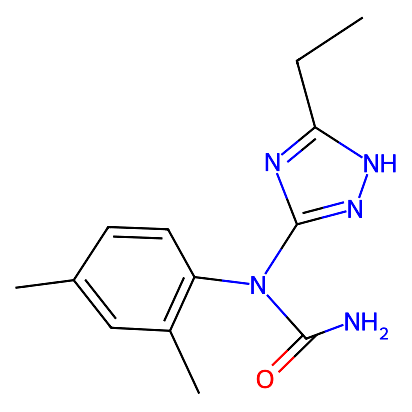 CCc1nc(N(C(N)=O)c2ccc(C)cc2C)n[nH]1